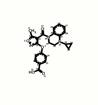 Cc1onc(Oc2ccc(C(=O)O)cc2)c1C(=O)N1CCN(C2CC2)c2ccccc21